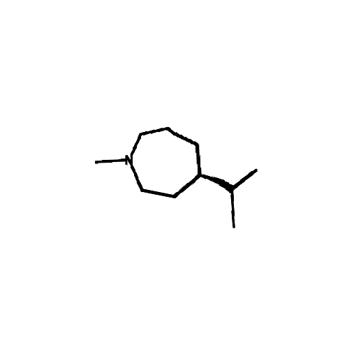 CC(C)[C@@H]1CCCN(C)CC1